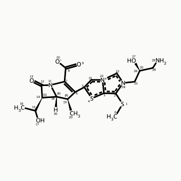 CSc1c2sc(C3=C(C(=O)[O-])N4C(=O)[C@H](C(C)O)[C@H]4[C@@H]3C)c[n+]2cn1C[C@@H](O)CN